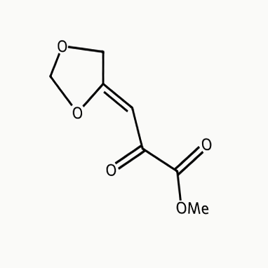 COC(=O)C(=O)C=C1COCO1